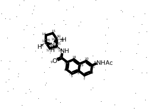 CC(=O)Nc1ccc2ccc(C(=O)N[C@@H]3C[C@H]4CC[C@@H]3N4)cc2c1